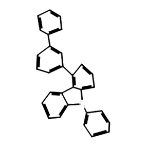 c1ccc(-c2cccc(-c3cccc4c3c3ccccc3n4-c3ccccc3)c2)cc1